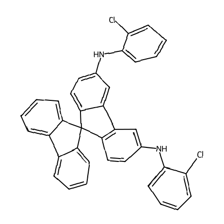 Clc1ccccc1Nc1ccc2c(c1)-c1cc(Nc3ccccc3Cl)ccc1C21c2ccccc2-c2ccccc21